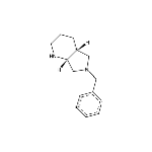 c1ccc(CN2C[C@H]3CCCN[C@H]3C2)cc1